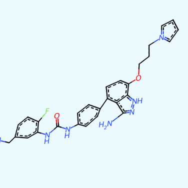 NCc1ccc(F)c(NC(=O)Nc2ccc(-c3ccc(OCCCn4cccc4)c4[nH]nc(N)c34)cc2)c1